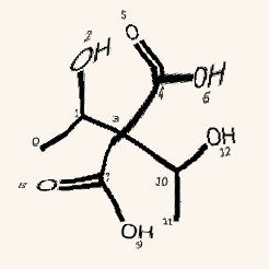 CC(O)C(C(=O)O)(C(=O)O)C(C)O